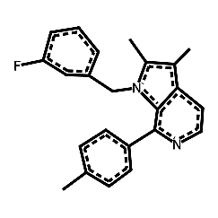 Cc1ccc(-c2nccc3c(C)c(C)n(Cc4cccc(F)c4)c23)cc1